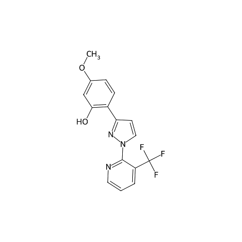 COc1ccc(-c2ccn(-c3ncccc3C(F)(F)F)n2)c(O)c1